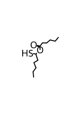 CCCCCC(=O)OC(S)CCCCC